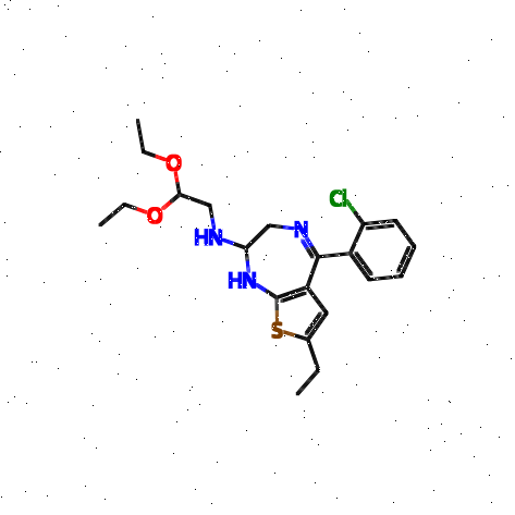 CCOC(CNC1CN=C(c2ccccc2Cl)c2cc(CC)sc2N1)OCC